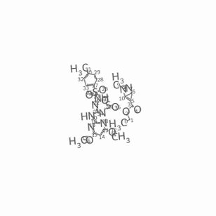 CCOC(=O)c1c2nn(C)c1-2.COc1cc(OC)nc(NC(=NNS(=O)(=O)c2ccc(C)cc2)N=S(=O)=O)n1